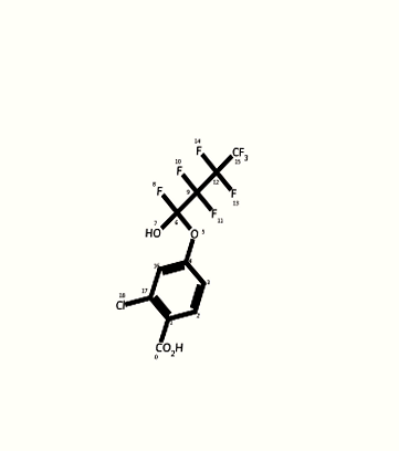 O=C(O)c1ccc(OC(O)(F)C(F)(F)C(F)(F)C(F)(F)F)cc1Cl